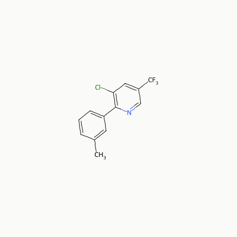 Cc1cccc(-c2ncc(C(F)(F)F)cc2Cl)c1